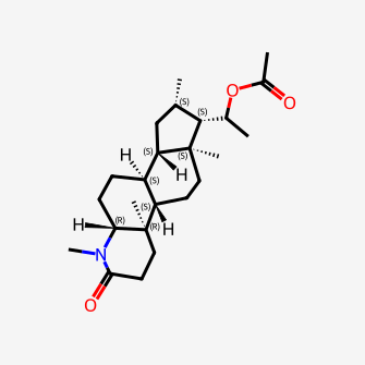 CC(=O)OC(C)[C@H]1[C@@H](C)C[C@H]2[C@@H]3CC[C@H]4N(C)C(=O)CC[C@]4(C)[C@H]3CC[C@@]21C